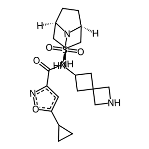 O=C(N[C@H]1C[C@H]2CC[C@@H](C1)N2S(=O)(=O)NC1CC2(CNC2)C1)c1cc(C2CC2)on1